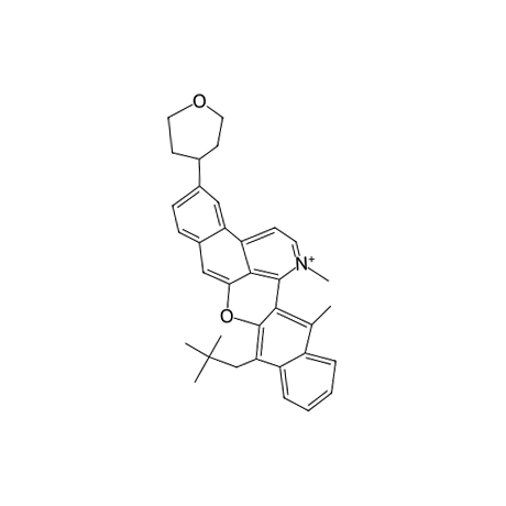 Cc1c2c(c(CC(C)(C)C)c3ccccc13)Oc1cc3ccc(C4CCOCC4)cc3c3cc[n+](C)c-2c13